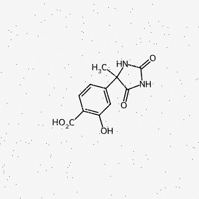 CC1(c2ccc(C(=O)O)c(O)c2)NC(=O)NC1=O